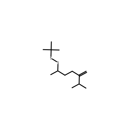 C=C(CCC(C)SSC(C)(C)C)C(C)C